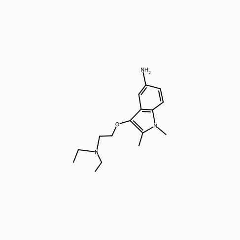 CCN(CC)CCOc1c(C)n(C)c2ccc(N)cc12